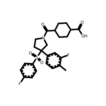 Cc1ccc(C2(S(=O)(=O)c3ccc(F)cc3)CCN(C(=O)C3CCC(C(=O)O)CC3)C2)cc1F